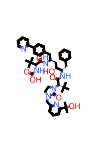 CC(C)(O)c1cccc(CN2CCN([C@H](C(=O)N[C@@H](Cc3ccccc3)[C@H](O)C[C@H](Cc3ccc(-c4ccccn4)cc3)NC(=O)[C@@H](NC(=O)O)C(C)(C)C)C(C)(C)C)C2=O)n1